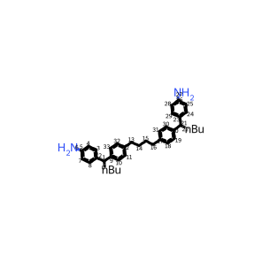 CCCCC(c1ccc(N)cc1)c1ccc(CCCCc2ccc(C(CCCC)c3ccc(N)cc3)cc2)cc1